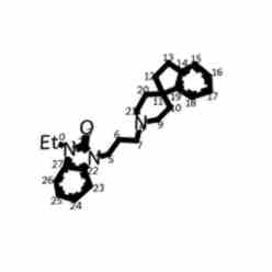 CCn1c(=O)n(CCCN2CCC3(CCc4ccccc43)CC2)c2ccccc21